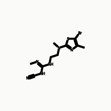 CN=C(NC#N)NCCN(C)c1nc(C)c(Br)s1